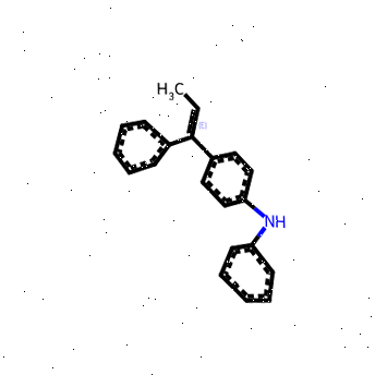 C/C=C(\c1ccccc1)c1ccc(Nc2ccccc2)cc1